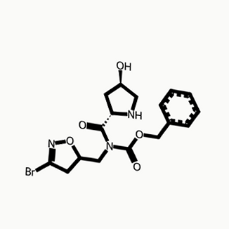 O=C(OCc1ccccc1)N(CC1CC(Br)=NO1)C(=O)[C@@H]1C[C@@H](O)CN1